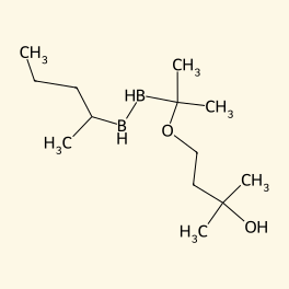 CCCC(C)BBC(C)(C)OCCC(C)(C)O